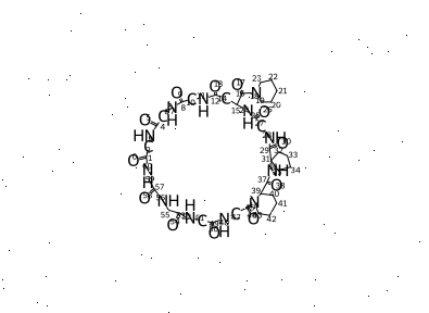 O=C1CNC(=O)CNC(=O)CNC(=O)CC(C(=O)N2CCCCC2)NC(=O)CNC(=O)C2(CCCC2)NC(=O)C2CCCCN2C(=O)CNC(=O)CNC(=O)CNC(=O)CN1